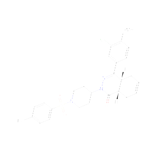 COc1ccc(C2=NN(C3CCN(S(=O)(=O)c4ccc(C)cc4)CC3)C(=O)[C@H]3CC=CC[C@@H]23)cc1Cl